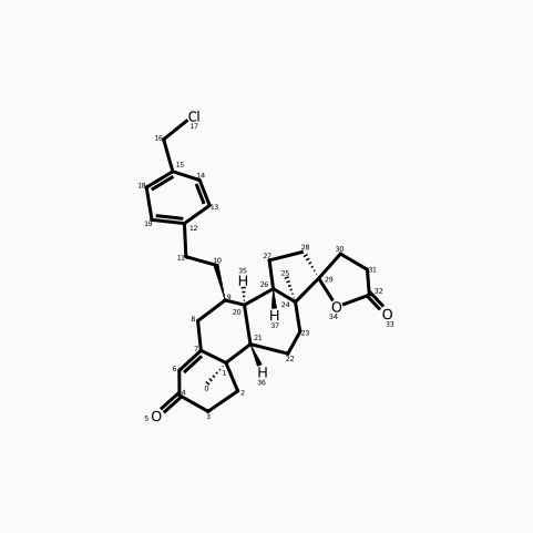 C[C@]12CCC(=O)C=C1C[C@@H](CCc1ccc(CCl)cc1)[C@@H]1[C@@H]2CC[C@@]2(C)[C@H]1CC[C@@]21CCC(=O)O1